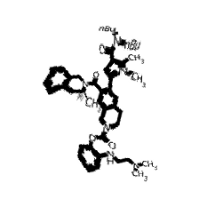 CCCCN(CCCC)C(=O)c1cc(-c2cc3c(cc2C(=O)N2Cc4ccccc4C[C@H]2C)CN(C(=O)Oc2ccccc2NCCN(C)C)CC3)n(C)c1C